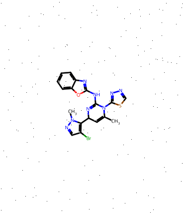 CC1=CC(c2c(Br)cnn2C)N=C(Nc2nc3ccccc3o2)N1c1nncs1